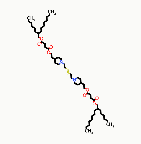 CCCCCCCCC(CCCCCC)COC(=O)CCC(=O)OCCC1CCN(CCSSCCN2CCC(CCOC(=O)CCC(=O)OCC(CCCCCC)CCCCCCCC)CC2)CC1